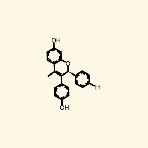 CCc1ccc([C@@H]2Oc3cc(O)ccc3C(C)=C2c2ccc(O)cc2)cc1